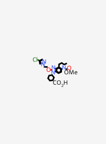 COC(=O)N1c2ccc3c(nc(OCCn4cc(Cl)cn4)n3[C@@H]3CCC[C@@H](C(=O)O)C3)c2CCC1C